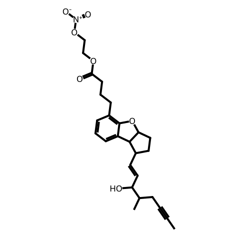 CC#CCC(C)C(O)/C=C/C1CCC2Oc3c(CCCC(=O)OCCO[N+](=O)[O-])cccc3C12